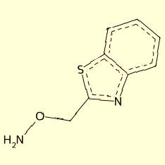 NOCc1nc2ccccc2s1